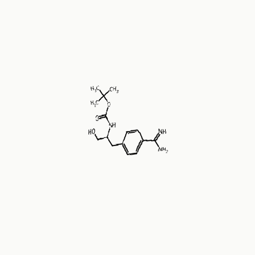 CC(C)(C)OC(=O)N[C@H](CO)Cc1ccc(C(=N)N)cc1